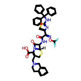 O=C(O)C1=C(CN2CCc3ccccc3C2)CS[C@H]2C(NC(=O)C(=NOC(F)F)c3csc(NC(c4ccccc4)(c4ccccc4)c4ccccc4)n3)C(=O)N12